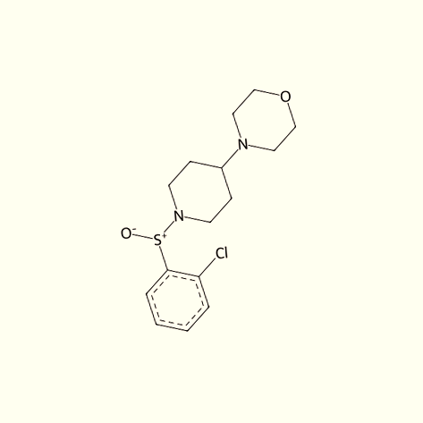 [O-][S+](c1ccccc1Cl)N1CCC(N2CCOCC2)CC1